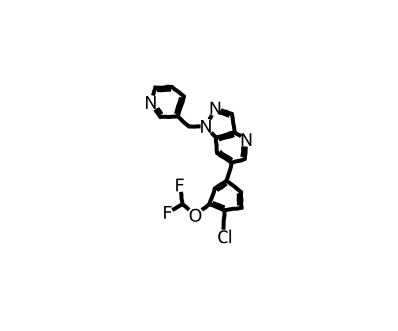 FC(F)Oc1cc(-c2cnc3cnn(Cc4cccnc4)c3c2)ccc1Cl